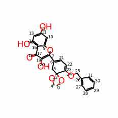 COC1(OC)CC(c2oc3cc(O)cc(O)c3c(=O)c2O)=CC=C1OCc1ccccc1